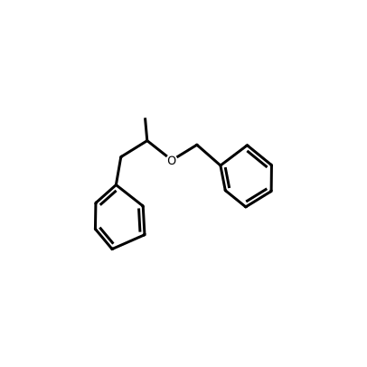 CC(Cc1ccccc1)OCc1ccccc1